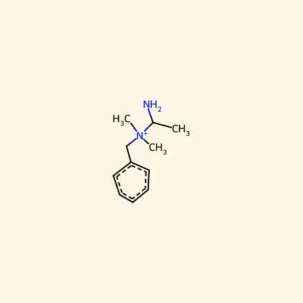 CC(N)[N+](C)(C)Cc1ccccc1